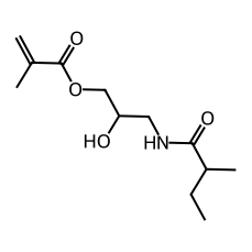 C=C(C)C(=O)OCC(O)CNC(=O)C(C)CC